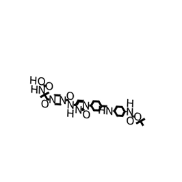 CC(C)(C)OC(=O)N[C@H]1CC[C@H](NCC2CCC(n3ccc(NC(=O)N4CCN(C(=O)C(C)(C)NC(=O)O)CC4)nc3=O)CC2)CC1